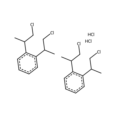 CC(CCl)c1ccccc1C(C)CCl.CC(CCl)c1ccccc1C(C)CCl.Cl.Cl